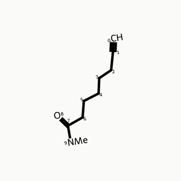 C#CCCCCCC(=O)NC